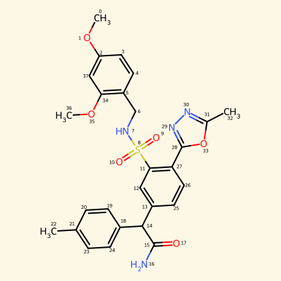 COc1ccc(CNS(=O)(=O)c2cc(C(C(N)=O)c3ccc(C)cc3)ccc2-c2nnc(C)o2)c(OC)c1